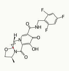 C[C@H]1CO[C@]23CCC[C@H]2n2cc(C(=O)NCc4c(F)cc(F)cc4F)c(=O)c(O)c2C(=O)N13